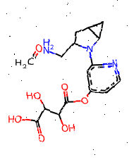 C=O.NCC1CC2CC2N1c1cc(OC(=O)C(O)C(O)C(=O)O)ccn1